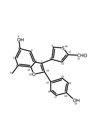 Cc1cc(O)cc2c(-c3csc(C=O)c3)c(-c3ccc(O)cc3)oc12